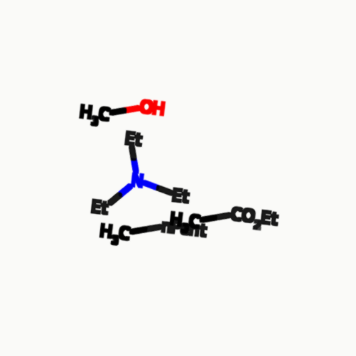 CCCCCC.CCN(CC)CC.CCOC(C)=O.CO